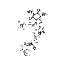 CCCn1c(=O)c2c(nc(-c3cnn(CC(=O)C4CC(=O)N(c5cccc(C(F)(F)F)c5)C4)c3)n2COCC[Si](C)(C)C)n(CCC)c1=O